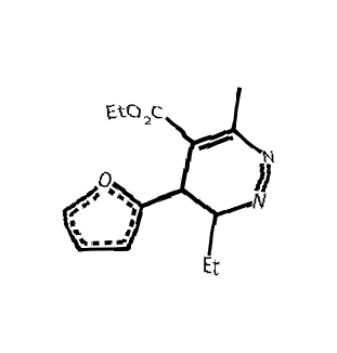 CCOC(=O)C1=C(C)N=NC(CC)C1c1ccco1